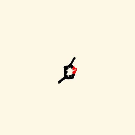 Cc1[c]oc(C)c1